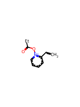 C=Cc1cccc[n+]1OC(=O)CC